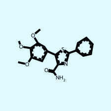 COc1cc(-c2sc(-c3ccccc3)nc2C(N)=O)cc(OC)c1OC